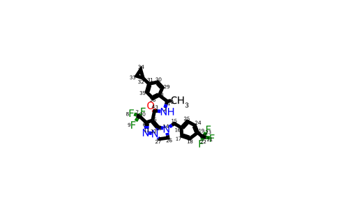 CC(NC(=O)c1c(C(F)(F)F)nn2c1N(Cc1ccc(C(F)(F)F)cc1)CC2)c1ccc(C2CC2)cc1